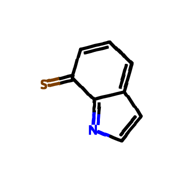 S=C1C=CC=C2C=CN=C12